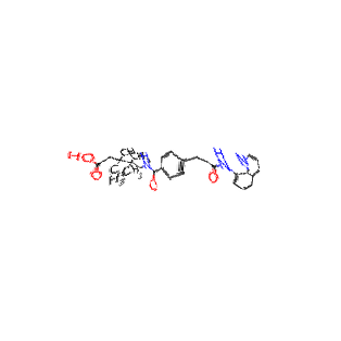 CC(C)(CNC(=O)c1ccc(CC(=O)Nc2cccc3cccnc23)cc1)C(C)(C)CC(=O)O